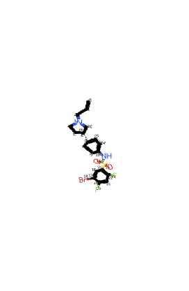 CCCN1CC[C@@H](c2ccc(NS(=O)(=O)c3cc(Br)c(F)cc3F)cc2)C1